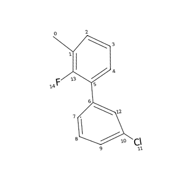 Cc1cccc(-c2[c]ccc(Cl)c2)c1F